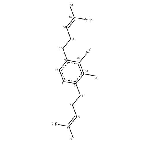 C/C(F)=C/CCc1ccc(CC/C=C(/C)F)c(F)c1C